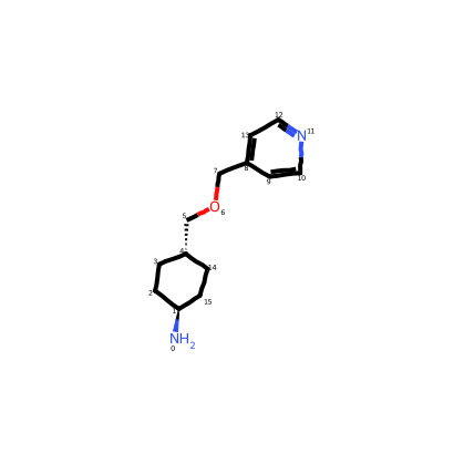 N[C@H]1CC[C@H](COCc2ccncc2)CC1